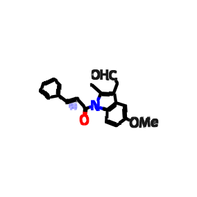 COc1ccc2c(c1)c(CC=O)c(C)n2C(=O)/C=C/c1ccccc1